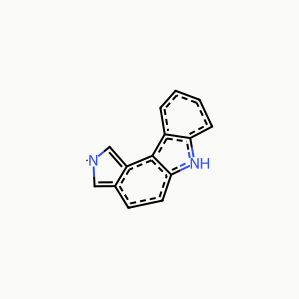 C1=c2ccc3[nH]c4ccccc4c3c2=C[N]1